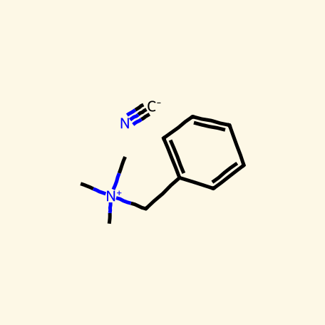 C[N+](C)(C)Cc1ccccc1.[C-]#N